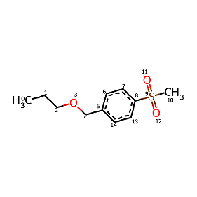 CCCOCc1ccc(S(C)(=O)=O)cc1